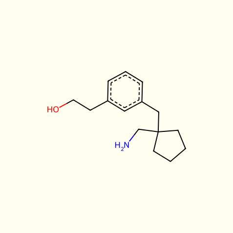 NCC1(Cc2cccc(CCO)c2)CCCC1